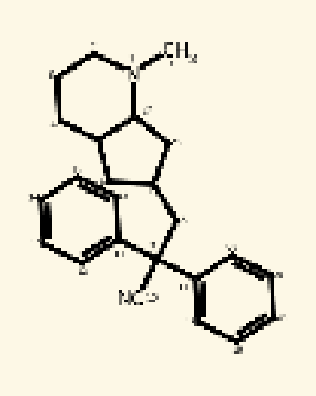 CN1CCCC2CC(CC(C#N)(c3ccccc3)c3ccccc3)CC21